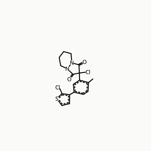 Cc1ccc(-c2ccsc2Cl)cc1C1(Cl)C(=O)N2CCCCN2C1=O